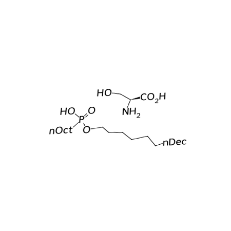 CCCCCCCCCCCCCCCCOP(=O)(O)CCCCCCCC.N[C@@H](CO)C(=O)O